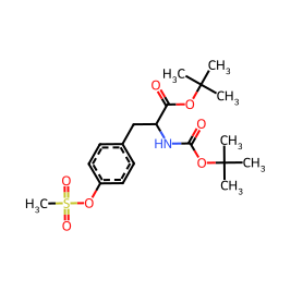 CC(C)(C)OC(=O)NC(Cc1ccc(OS(C)(=O)=O)cc1)C(=O)OC(C)(C)C